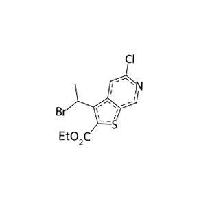 CCOC(=O)c1sc2cnc(Cl)cc2c1C(C)Br